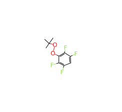 CC(C)(C)OOc1c(F)c(F)cc(F)c1F